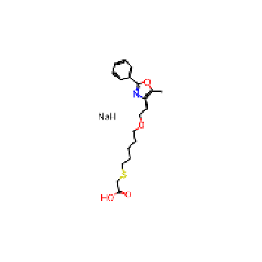 Cc1oc(-c2ccccc2)nc1CCOCCCCCSCC(=O)O.[NaH]